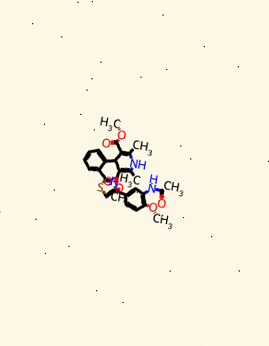 COC(=O)C1=C(C)NC(C)=C(C(=O)OC)C1c1ccccc1-c1nc(-c2ccc(OC)c(NC(C)=O)c2)cs1